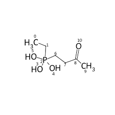 CCP(O)(O)(O)CCC(C)=O